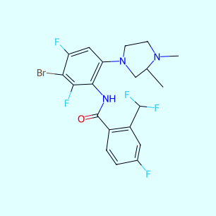 CC1CN(c2cc(F)c(Br)c(F)c2NC(=O)c2ccc(F)cc2C(F)F)CCN1C